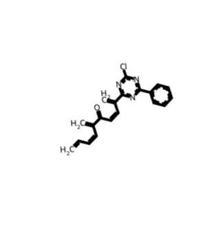 C=C/C=C\C(=C)C(=O)/C=C\C(=C)c1nc(Cl)nc(-c2ccccc2)n1